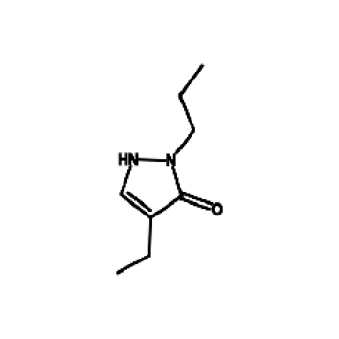 CCCn1[nH]cc(CC)c1=O